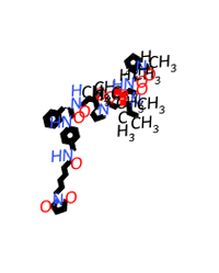 CC[C@H](C)[C@@H]([C@@H](CC(=O)N1CCC[C@H]1[C@H](OC)[C@@H](C)C(=O)N[C@@H](Cc1ccccc1)C(=O)Nc1ccc(CNC(=O)CCCCCN2C(=O)C=CC2=O)cc1)OC)N(C)C(=O)[C@@H](NC(=O)[C@@H]1[C@H]2CC[C@@H]([C@H]2C)N1C(C)=O)C(C)C